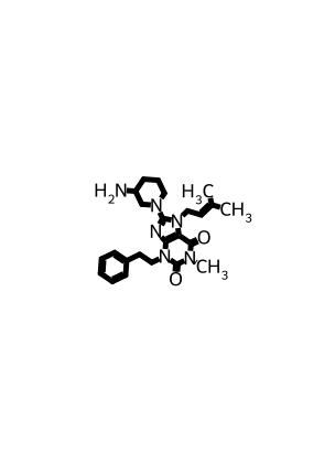 CC(C)=CCn1c(N2CCCC(N)C2)nc2c1c(=O)n(C)c(=O)n2CCc1ccccc1